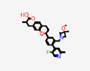 COC1(C)CN(Cc2cc(C3CCc4ccc(CC(C)C(=O)O)cc4O3)ccc2-c2cc(C)ncc2F)C1